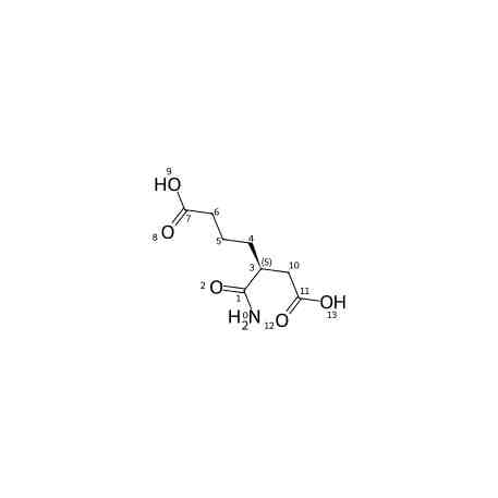 NC(=O)[C@@H](CCCC(=O)O)CC(=O)O